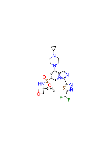 CC1(NS(=O)(=O)c2cc(N3CCN(C4CC4)CC3)c3cnc(-c4nnc(C(F)F)s4)n3c2)COC1